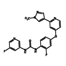 Cn1cc(-c2cc(Oc3ccc(NC(=O)Nc4cncc(F)c4)c(F)c3)ccn2)cn1